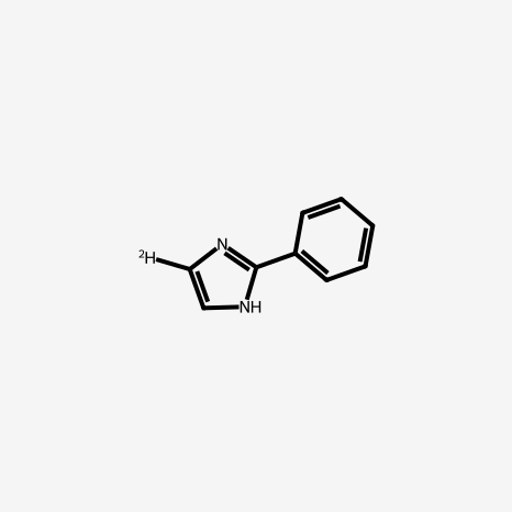 [2H]c1c[nH]c(-c2ccccc2)n1